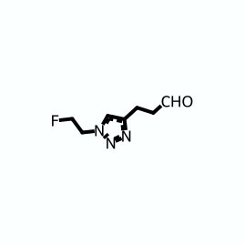 O=CCCc1cn(CCF)nn1